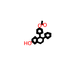 CC(=O)Oc1ccc(C2c3ccc(O)cc3CCC2c2ccccc2)cc1